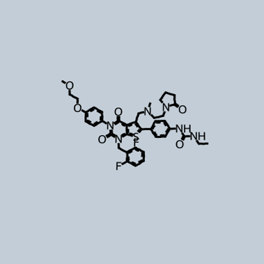 CCNC(=O)Nc1ccc(-c2sc3c(c2CN(C)CCN2CCCC2=O)c(=O)n(-c2ccc(OCCOC)cc2)c(=O)n3Cc2c(F)cccc2F)cc1